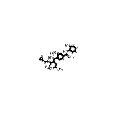 C=C(N)C/C(=C\c1ccc(C(=C)Nc2ccccc2CC)cc1C)C(=C)N(CCC)CC1CC1